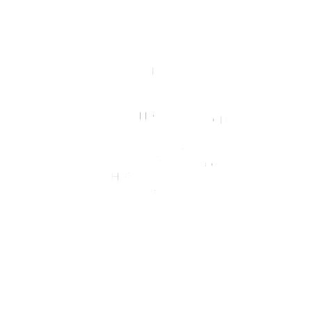 CCC(C)(C)C(=O)OC1(C)CCCCC12CCCCC2